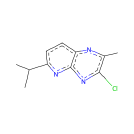 Cc1nc2ccc(C(C)C)nc2nc1Cl